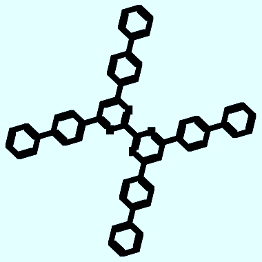 c1ccc(-c2ccc(-c3cc(-c4ccc(-c5ccccc5)cc4)nc(-c4nc(-c5ccc(-c6ccccc6)cc5)cc(-c5ccc(-c6ccccc6)cc5)n4)n3)cc2)cc1